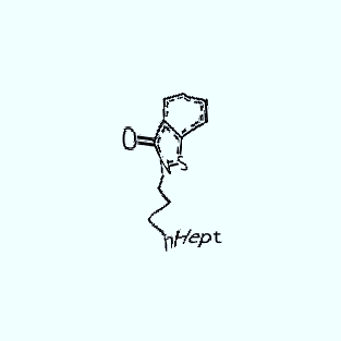 CCCCCCCCCCn1sc2ccccc2c1=O